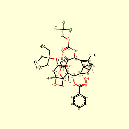 CC[Si](CC)(CC)O[C@H]1C[C@H]2OC[C@@]2(OC(C)=O)[C@H]2[C@H](OC(=O)c3ccccc3)[C@]3(O)CCC(C)=C([C@@H](OC(=O)OCC(Cl)(Cl)Cl)C(=O)[C@]12C)C3(C)C